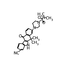 CN(C)S(=O)(=O)N1CCN(c2ccc3c(c2)C(C)(C)c2[nH]c4cc(C#N)ccc4c2C3=O)CC1